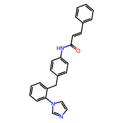 O=C(C=Cc1ccccc1)Nc1ccc(Cc2ccccc2-n2ccnc2)cc1